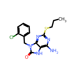 CCCSc1nc(N)c2[nH]c(=O)n(Cc3ccccc3Cl)c2n1